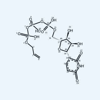 C=CCOP(=O)(O)OP(=O)(O)OP(=O)(O)OC[C@H]1O[C@@H](n2ccc(=O)[nH]c2=O)[C@H](O)[C@@H]1O